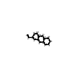 C=Cc1[c]c2cc3ccccc3cc2cc1